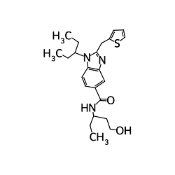 CCC(CCO)NC(=O)c1ccc2c(c1)nc(Cc1cccs1)n2C(CC)CC